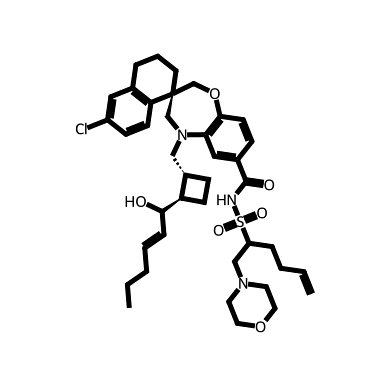 C=CCCC(CN1CCOCC1)S(=O)(=O)NC(=O)c1ccc2c(c1)N(C[C@@H]1CC[C@H]1C(O)/C=C/CCC)C[C@@]1(CCCc3cc(Cl)ccc31)CO2